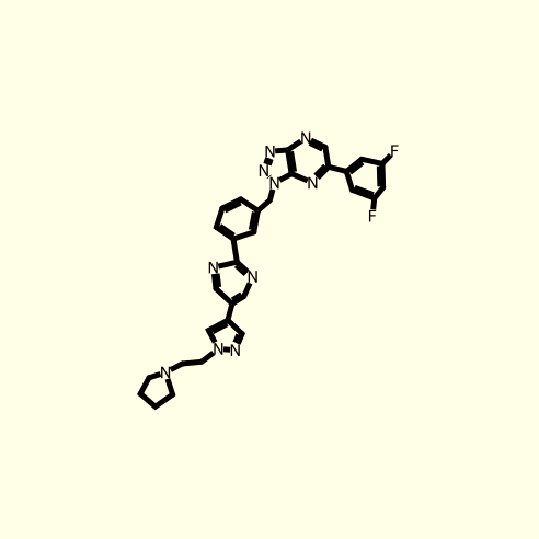 Fc1cc(F)cc(-c2cnc3nnn(Cc4cccc(-c5ncc(-c6cnn(CCN7CCCC7)c6)cn5)c4)c3n2)c1